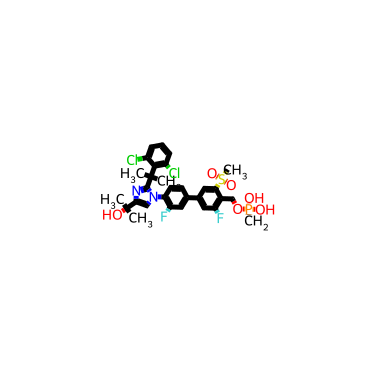 C=P(O)(O)OCc1c(F)cc(-c2ccc(-n3cc(C(C)(C)O)nc3C(C)(C)c3c(Cl)cccc3Cl)c(F)c2)cc1S(C)(=O)=O